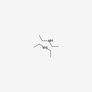 C[CH2][AlH][CH2]C.C[CH2][Mg][CH2]C